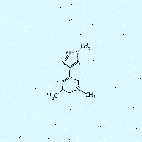 CC1C=C(c2nnn(C)n2)CN(C)C1